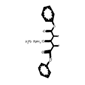 O=C(Oc1ccccc1)C(F)C(=O)C(F)C(=O)Oc1ccccc1.[PbH2].[PbH2]